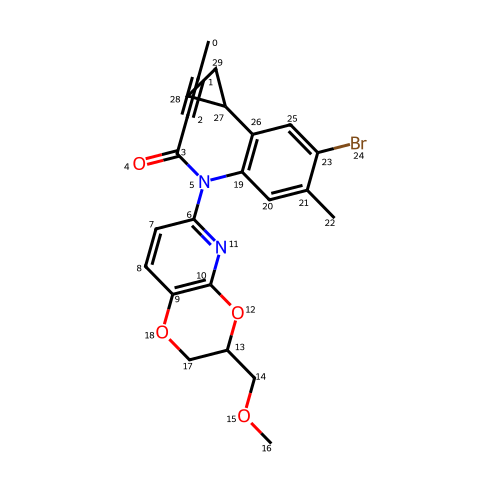 CC#CC(=O)N(c1ccc2c(n1)OC(COC)CO2)c1cc(C)c(Br)cc1C1CC1